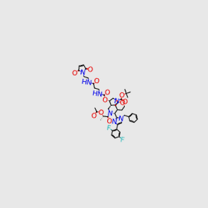 CC(=O)O[C@@H](C)C(=O)N(C[C@@H]1CN(C(=O)OC(C)(C)C)C[C@H]1OC(=O)NCCC(=O)NCCN1C(=O)C=CC1=O)[C@@H](c1nc(-c2cc(F)ccc2F)cn1Cc1ccccc1)C1CCOCC1